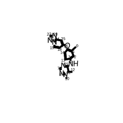 Cc1cc(NC2=NC=NN(C)C2C)ccc1Oc1ccn2ncnc2c1